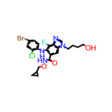 O=C(NOCC1CC1)c1cc2c(ncn2CCCCO)c(F)c1Nc1ccc(Br)cc1Cl